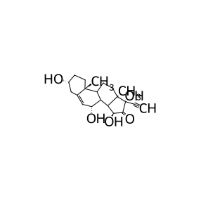 C#C[C@]1(O)C(=O)[C@@H](O)C2C3C(CC[C@@]21C)[C@@]1(C)CC[C@@H](O)CC1=C[C@H]3O